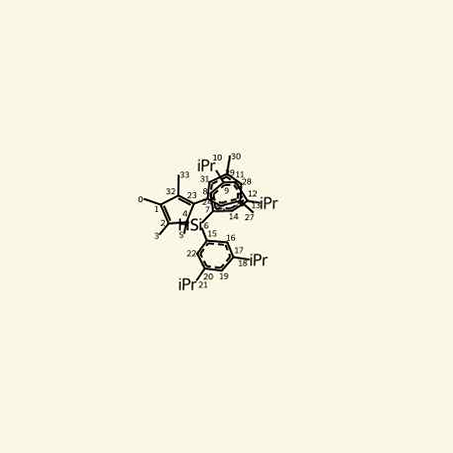 CC1=C(C)C(C)([SiH](c2cc(C(C)C)cc(C(C)C)c2)c2cc(C(C)C)cc(C(C)C)c2)C(c2cc(C)cc(C)c2)=C1C